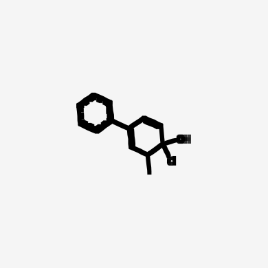 CC1C=C(c2ccccc2)C=CC1(O)Cl